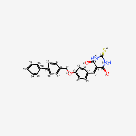 O=C1NC(=S)NC(=O)C1=Cc1ccc(OCc2ccc(-c3ccccc3)cc2)cc1